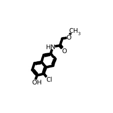 COCC(=O)Nc1ccc2c(Cl)c(O)ccc2c1